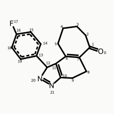 O=C1CCCCC2=C1CCC1=C2C(c2ccc(F)cc2)N=N1